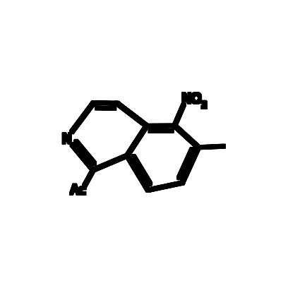 CC(=O)c1nccc2c([N+](=O)[O-])c(C)ccc12